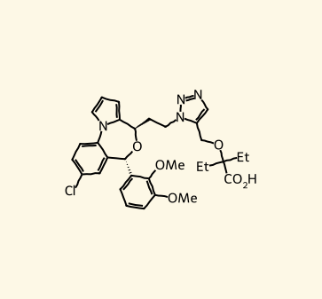 CCC(CC)(OCc1cnnn1CC[C@H]1O[C@H](c2cccc(OC)c2OC)c2cc(Cl)ccc2-n2cccc21)C(=O)O